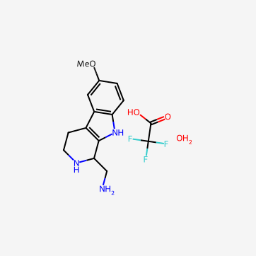 COc1ccc2[nH]c3c(c2c1)CCNC3CN.O.O=C(O)C(F)(F)F